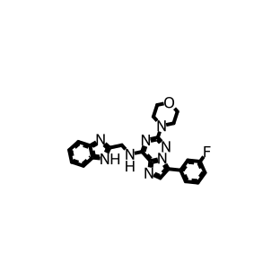 Fc1cccc(-c2cnc3c(NCc4nc5ccccc5[nH]4)nc(N4CCOCC4)nn23)c1